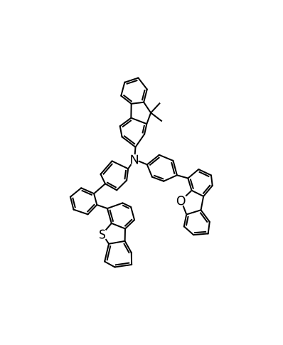 CC1(C)c2ccccc2-c2ccc(N(c3ccc(-c4ccccc4-c4cccc5c4sc4ccccc45)cc3)c3ccc(-c4cccc5c4oc4ccccc45)cc3)cc21